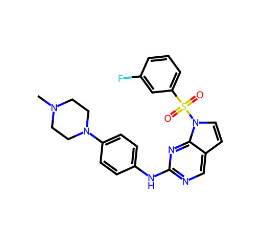 CN1CCN(c2ccc(Nc3ncc4ccn(S(=O)(=O)c5cccc(F)c5)c4n3)cc2)CC1